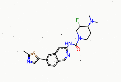 Cc1ncc(-c2ccc3cnc(NC(=O)N4CC[C@H](N(C)C)[C@@H](F)C4)cc3c2)s1